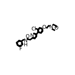 O=C(Cc1ccc(-c2ccc(OCCN3CCOCC3)cc2Cl)cn1)NCc1cccc(F)c1